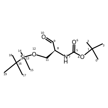 CC(C)(C)OC(=O)N[C@H](C=O)CO[Si](C)(C)C(C)(C)C